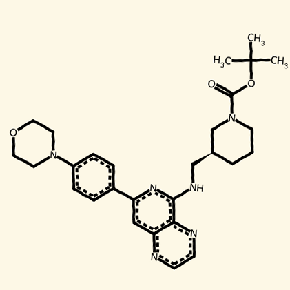 CC(C)(C)OC(=O)N1CCC[C@@H](CNc2nc(-c3ccc(N4CCOCC4)cc3)cc3nccnc23)C1